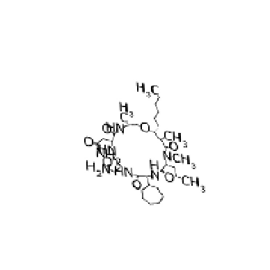 CCCCCC[C@H]1OC[C@@H](C)NC(=O)[C@H](CC(N)=O)NC(=O)[C@H](CN)NC(=O)[C@H](C2CCCCCC2)NC(=O)[C@H](CCC)N(C)C(=O)[C@@H]1C